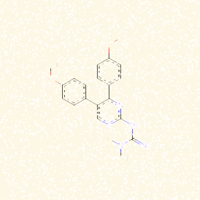 COc1ccc(-c2cnc(NC(=N)N(C)C)nc2-c2ccc(OC)cc2)cc1.Cl